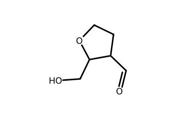 O=CC1CCOC1CO